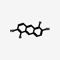 Oc1ccc2cc3c(Br)c(O)ccc3cc2c1Br